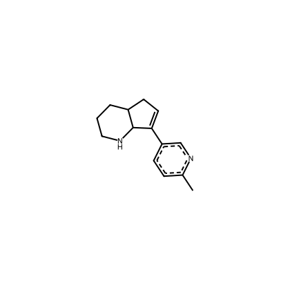 Cc1ccc(C2=CCC3CCCNC23)cn1